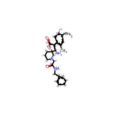 Bc1cc(C)c(C2=C(N)C3(CCCN(CC(=O)NCc4ccccc4)C3)OC2=O)cc1I